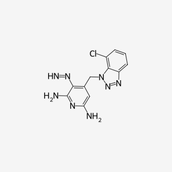 N=Nc1c(Cn2nnc3cccc(Cl)c32)cc(N)nc1N